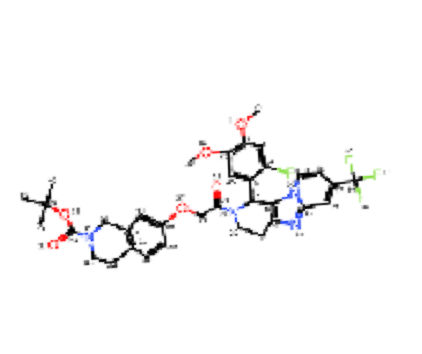 COc1cc(F)c(C2c3c(nc4cc(C(F)(F)F)ccn34)CCN2C(=O)COc2ccc3c(c2)CN(C(=O)OC(C)(C)C)CC3)cc1OC